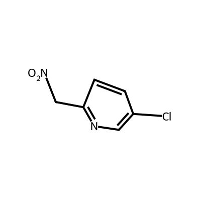 O=[N+]([O-])Cc1ccc(Cl)cn1